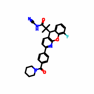 CC(C)(C(=O)NC#N)[C@@H]1c2ccc(-c3ccc(C(=O)N4CCCCC4)cc3)nc2Oc2c(F)cccc21